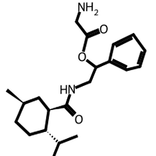 CC(C)[C@@H]1CC[C@@H](C)C[C@H]1C(=O)NCC(OC(=O)CN)c1ccccc1